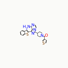 Nc1nccn2c(C3CCN(C(=O)c4ccsc4)CC3)nc(-c3cc4ccccc4s3)c12